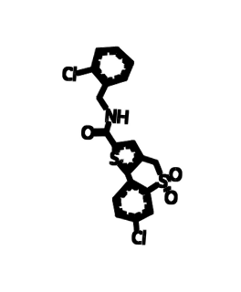 O=C(NCc1ccccc1Cl)c1cc2c(s1)-c1ccc(Cl)cc1S(=O)(=O)C2